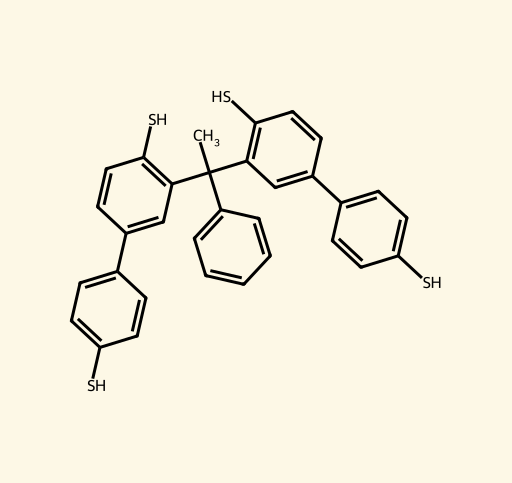 CC(c1ccccc1)(c1cc(-c2ccc(S)cc2)ccc1S)c1cc(-c2ccc(S)cc2)ccc1S